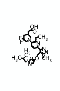 CCc1nc(-c2nnn(C)c2COc2cnn(CC(C)C)n2)ccc1N1CC(CC(=O)O)CC(F)(F)C1